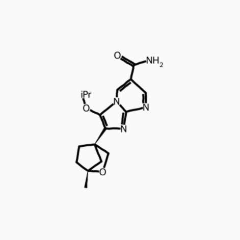 CC(C)Oc1c([C@]23CC[C@](C)(C2)OC3)nc2ncc(C(N)=O)cn12